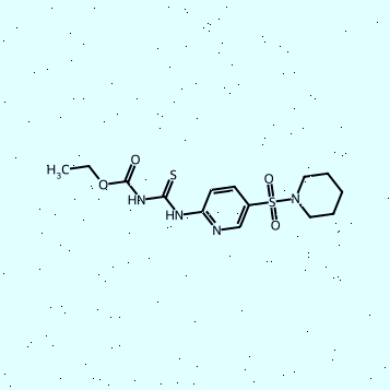 CCOC(=O)NC(=S)Nc1ccc(S(=O)(=O)N2CCCCC2)cn1